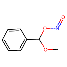 COC(ON=O)c1ccccc1